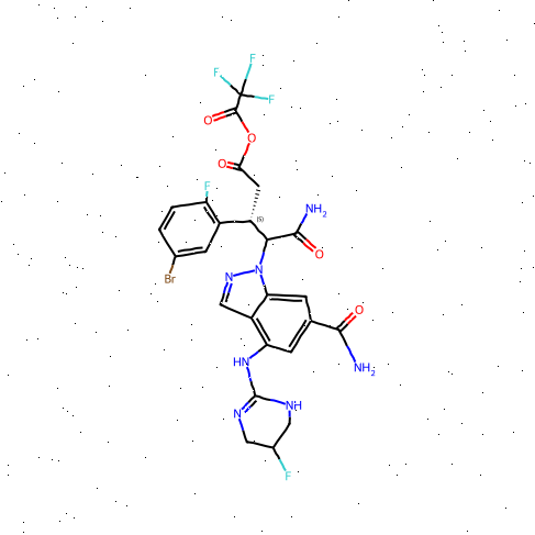 NC(=O)c1cc(NC2=NCC(F)CN2)c2cnn(C(C(N)=O)[C@@H](CC(=O)OC(=O)C(F)(F)F)c3cc(Br)ccc3F)c2c1